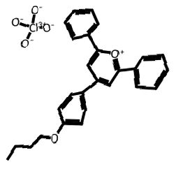 CCCCOc1ccc(-c2cc(-c3ccccc3)[o+]c(-c3ccccc3)c2)cc1.[O-][Cl+3]([O-])([O-])[O-]